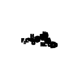 N#Cc1cc(-c2ccnc3cc(-c4ccc(C(=O)NCCC(F)(F)F)cc4)oc23)ccc1OC1CCOCC1